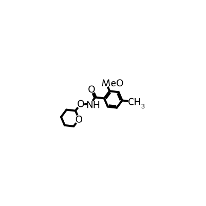 COc1cc(C)ccc1C(=O)NOC1CCCCO1